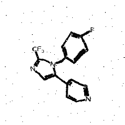 Fc1ccc(-n2c(-c3ccncc3)cnc2C(F)(F)F)cc1